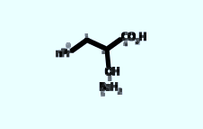 CCCCC(O)C(=O)O.[BaH2]